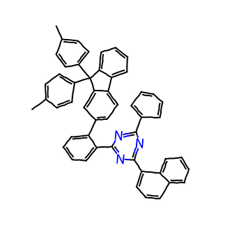 Cc1ccc(C2(c3ccc(C)cc3)c3ccccc3-c3ccc(-c4ccccc4-c4nc(-c5ccccc5)nc(-c5cccc6ccccc56)n4)cc32)cc1